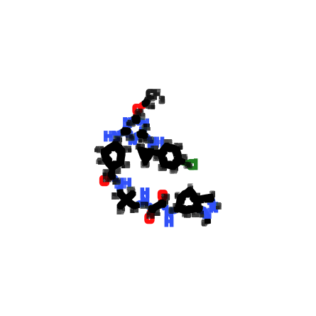 Cn1ncc2ccc(NC(=O)C(=O)NCC(C)(C)CNC(=O)c3ccc(Nc4nc(NC5(c6ccc(Cl)cc6)CC5)nc(OCC(F)(F)F)n4)cc3)cc21